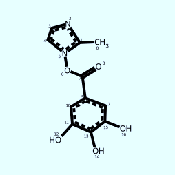 Cc1nccn1OC(=O)c1cc(O)c(O)c(O)c1